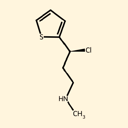 CNCC[C@H](Cl)c1cccs1